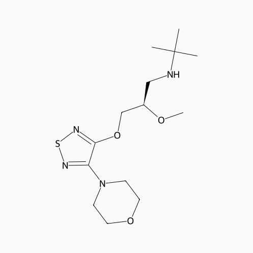 CO[C@H](CNC(C)(C)C)COc1nsnc1N1CCOCC1